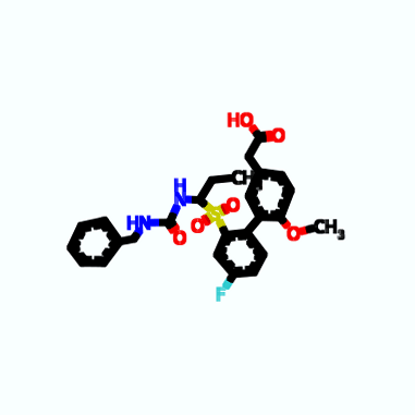 CCC(NC(=O)NCc1ccccc1)S(=O)(=O)c1cc(F)ccc1-c1cc(CC(=O)O)ccc1OC